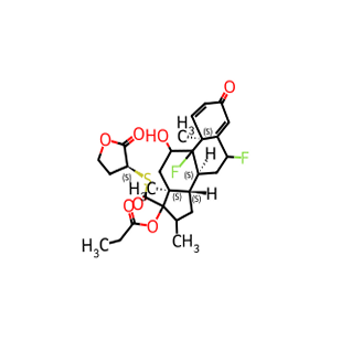 CCC(=O)OC1(C(=O)S[C@H]2CCOC2=O)C(C)C[C@H]2[C@@H]3CC(F)C4=CC(=O)C=C[C@]4(C)C3(F)C(O)C[C@@]21C